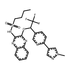 CCCCS(=O)(=O)Nc1nc2ccccc2nc1OC(c1ccc(-c2cnn(C)c2)nc1)C(F)(F)F